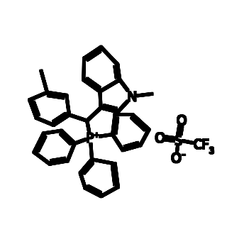 Cc1cccc(C(c2cn(C)c3ccccc23)[P+](c2ccccc2)(c2ccccc2)c2ccccc2)c1.O=S(=O)([O-])C(F)(F)F